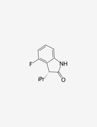 CC(C)[C@H]1C(=O)Nc2cccc(F)c21